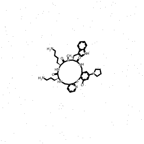 CN1C(=O)[C@H](CCCCN)NC(=O)[C@H](CCCN)NCc2cccnc2Sc2c(Cl)cc(N3CCCC3)cc2CNC(=O)[C@@H]1Cc1c[nH]c2ccccc12